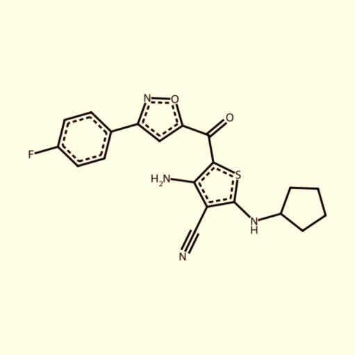 N#Cc1c(NC2CCCC2)sc(C(=O)c2cc(-c3ccc(F)cc3)no2)c1N